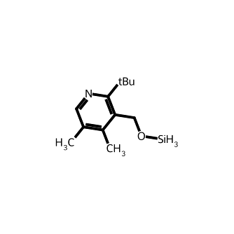 Cc1cnc(C(C)(C)C)c(CO[SiH3])c1C